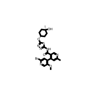 COc1cnc(Br)cc1-c1cc(C)ncc1C(=O)Nc1nnc(O[C@H]2CC[C@](C)(O)CC2)s1